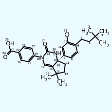 CC(C)(C)CCc1ccc([C@]23CCC(C)(C)C2=CN(c2ccc(C(=O)O)cc2)C(=O)N3)cc1Cl